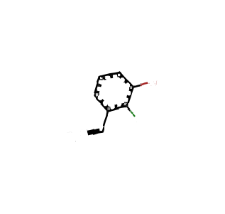 C=Cc1cccc(Br)c1Cl